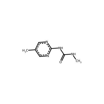 CNC(=O)Nc1ncc(C)cn1